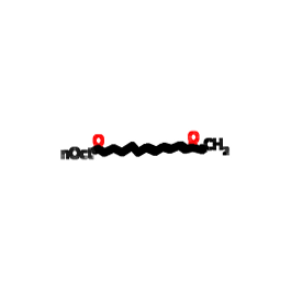 C=CC(=O)C=CC=CC=CCCCCCC(=O)CCCCCCCC